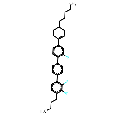 CCCCCC1CC=C(c2ccc(-c3ccc(-c4ccc(CCCC)c(F)c4F)cc3)c(F)c2)CC1